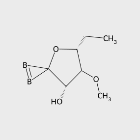 CC[C@H]1OC2(B=B2)[C@@H](O)C1OC